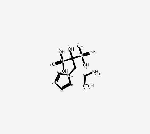 NCC(=O)O.O=P(O)(O)C(O)(Cn1ccnc1)P(=O)(O)O